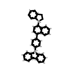 c1ccc2c(c1)CCN2c1ccc(-c2ccc(-n3c4ccccc4c4ccccc43)cc2)c2ccccc12